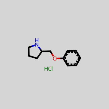 Cl.c1ccc(OCC2CCCN2)cc1